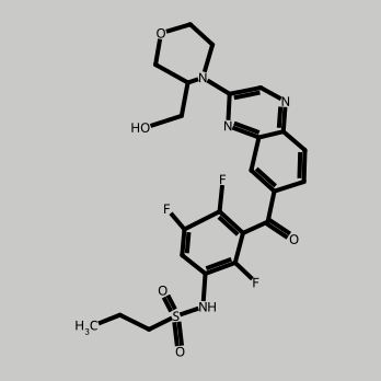 CCCS(=O)(=O)Nc1cc(F)c(F)c(C(=O)c2ccc3ncc(N4CCOCC4CO)nc3c2)c1F